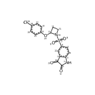 O=C1Nc2ccc(S(=O)(=O)N3CCC3Oc3ccc(Cl)cc3)cc2C1=O